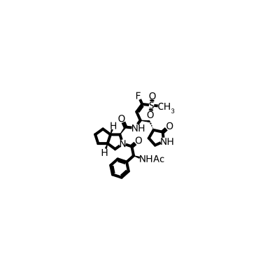 CC(=O)N[C@H](C(=O)N1C[C@@H]2CCC[C@@H]2[C@H]1C(=O)N[C@@H](/C=C(/F)S(C)(=O)=O)C[C@H]1CCNC1=O)c1ccccc1